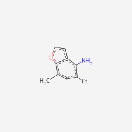 CCc1cc(C)c2occc2c1N